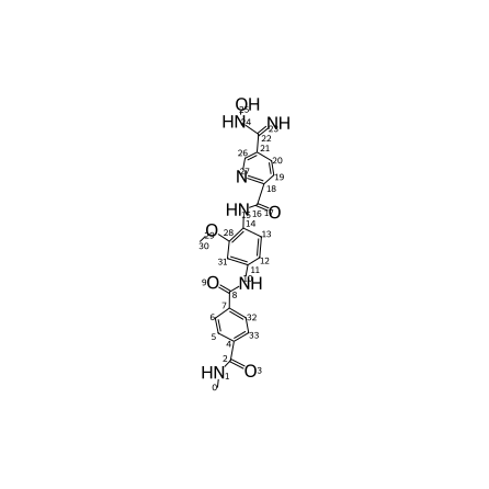 CNC(=O)c1ccc(C(=O)Nc2ccc(NC(=O)c3ccc(C(=N)NO)cn3)c(OC)c2)cc1